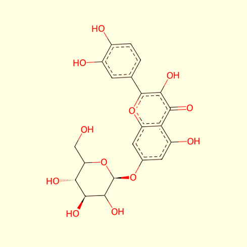 O=c1c(O)c(-c2ccc(O)c(O)c2)oc2cc(O[C@@H]3OC(CO)[C@@H](O)[C@H](O)C3O)cc(O)c12